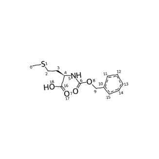 CSCC[C@@H](NC(=O)OCc1ccccc1)C(=O)O